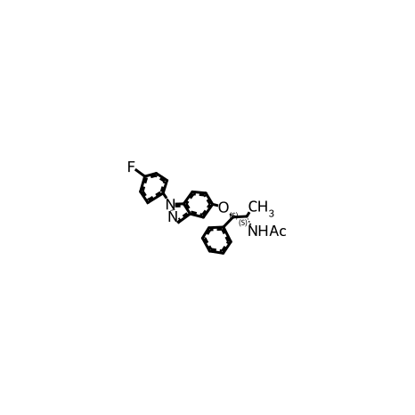 CC(=O)N[C@@H](C)[C@@H](Oc1ccc2c(cnn2-c2ccc(F)cc2)c1)c1ccccc1